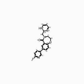 O=C1c2cc(-c3ccc(F)nc3)ccc2OCCN1CC1N=CC=CN1